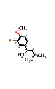 COc1ccc([C@H](C)CC(C)C)cc1Br